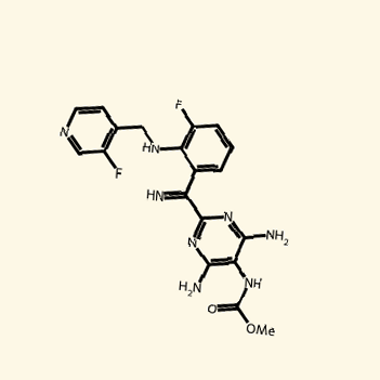 COC(=O)Nc1c(N)nc(C(=N)c2cccc(F)c2NCc2ccncc2F)nc1N